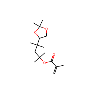 C=C(C)C(=O)OC(C)(C)CC(C)(C)C1COC(C)(C)O1